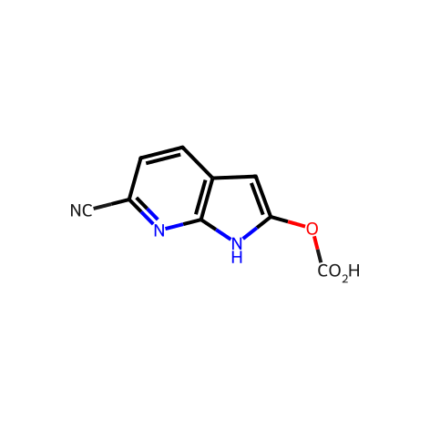 N#Cc1ccc2cc(OC(=O)O)[nH]c2n1